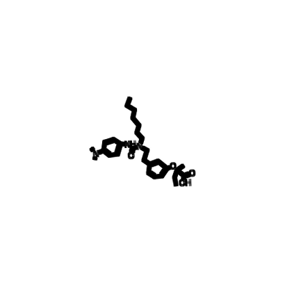 CCCCCCCN(CCc1cccc(OC(C)(CC)C(=O)O)c1)C(=O)Nc1ccc(N(C)C)cc1